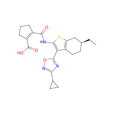 CC[C@H]1CCc2c(sc(NC(=O)C3=C(C(=O)O)CCC3)c2-c2nc(C3CC3)no2)C1